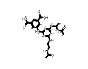 CC(=O)NCCNc1nc(Nc2cc(C(=O)O)cc(C(=O)O)c2)nc(NC(C)NC(C)=O)n1